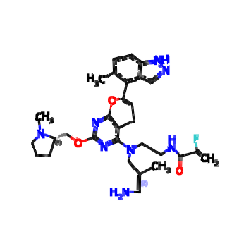 C=C(F)C(=O)NCCN(C/C(C)=C\N)c1nc(OC[C@@H]2CCCN2C)nc2c1CC=C(c1c(C)ccc3[nH]ncc13)O2